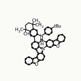 CC(C)(C)c1ccc(Nc2cc3c(cc2-c2ccc4c5c6c(ccc5n5c4c2Bc2cc4c(cc2-5)oc2ccccc24)oc2ccccc26)C(C)(C)CCC3(C)C)cc1